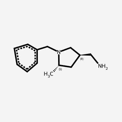 C[C@H]1C[C@H](CN)CN1Cc1ccccc1